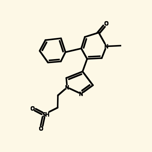 Cn1cc(-c2cnn(CC[SH](=O)=O)c2)c(-c2ccccc2)cc1=O